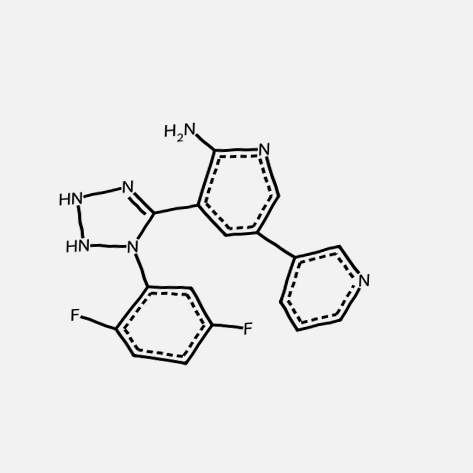 Nc1ncc(-c2cccnc2)cc1C1=NNNN1c1cc(F)ccc1F